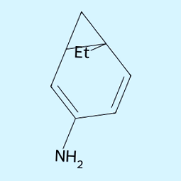 CCC12C=CC(N)=CC1C2